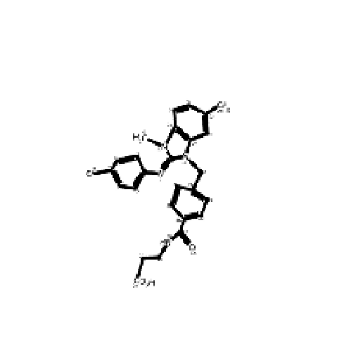 Cn1c(=Nc2ccc(Cl)cc2)n(Cc2ccc(C(=O)NCCC(=O)O)cc2)c2cc(C(F)(F)F)ccc21